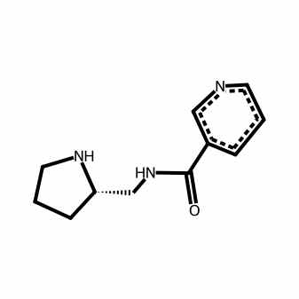 O=C(NC[C@@H]1CCCN1)c1cccnc1